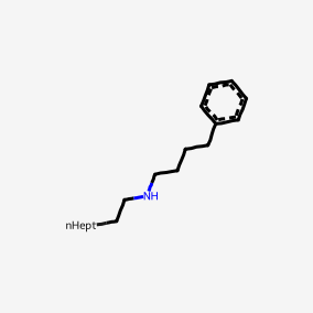 CCCCCCCCCNCCCCc1ccccc1